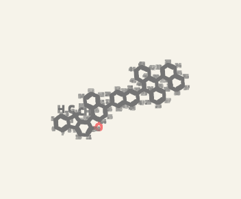 CC1(C)c2ccccc2-c2ccc3oc4cc(-c5ccc6cc(-c7c8ccccc8c(-c8cccc9ccccc89)c8ccccc78)ccc6c5)c5ccccc5c4c3c21